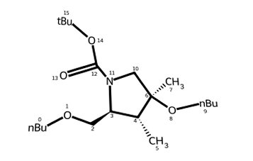 CCCCOC[C@@H]1[C@@H](C)[C@](C)(OCCCC)CN1C(=O)OC(C)(C)C